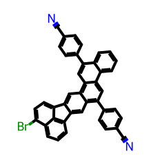 N#Cc1ccc(-c2cc3c4cc5c(cc4c(-c4ccc(C#N)cc4)cc3c3ccccc23)-c2cccc3c(Br)ccc-5c23)cc1